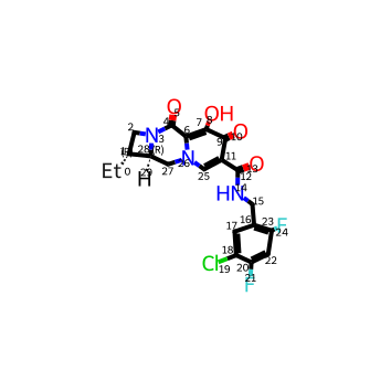 CC[C@@H]1CN2C(=O)c3c(O)c(=O)c(C(=O)NCc4cc(Cl)c(F)cc4F)cn3C[C@@H]12